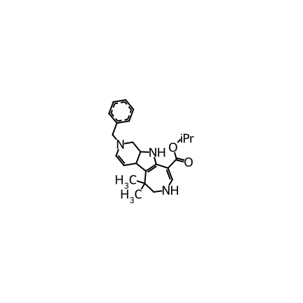 CC(C)OC(=O)C1=CNCC(C)(C)C2=C1NC1CN(Cc3ccccc3)C=CC21